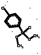 CO[Si](Cl)(OC)c1ccc(Cl)cc1